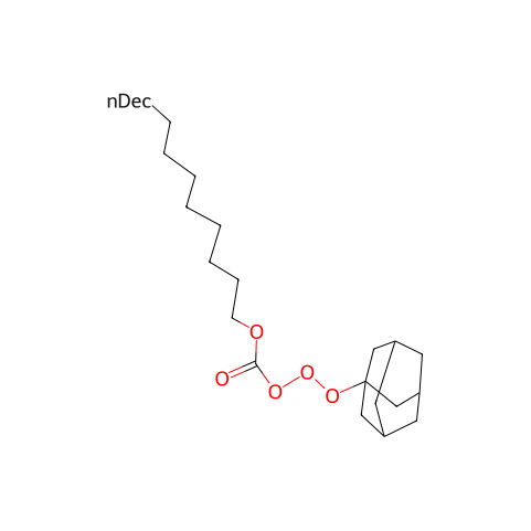 CCCCCCCCCCCCCCCCCCOC(=O)OOOC12CC3CC(CC(C3)C1)C2